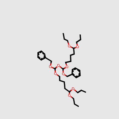 CCCOC(CCCCOC(OCc1ccccc1)OC(OCCCCC(OCCC)OCCC)OCc1ccccc1)OCCC